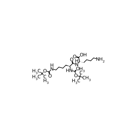 CC(C)(C)OC(=O)NCCCC[C@H](NC(=O)OC(C)(C)C)C(=O)N[C@@H](CCCCN)C(=O)O